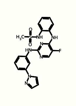 CS(=O)(=O)Nc1ccccc1Nc1nc(Nc2cccc(-n3cccn3)c2)ncc1F